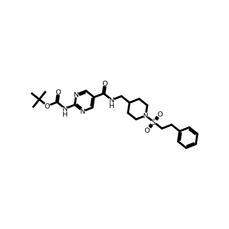 CC(C)(C)OC(=O)Nc1ncc(C(=O)NCC2CCN(S(=O)(=O)CCc3ccccc3)CC2)cn1